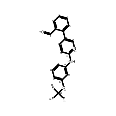 O=Cc1ccccc1-c1ccc(Nc2cccc(OC(F)(F)F)c2)nc1